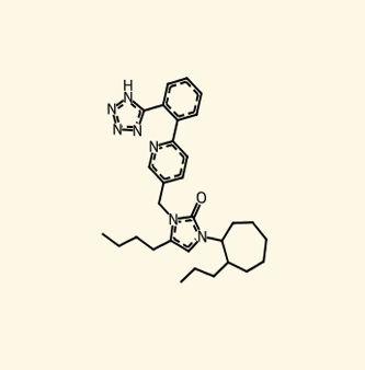 CCCCc1cn(C2CCCCCC2CCC)c(=O)n1Cc1ccc(-c2ccccc2-c2nnn[nH]2)nc1